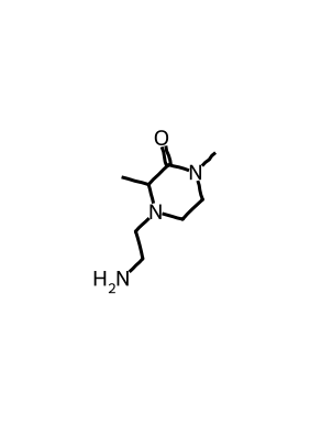 CC1C(=O)N(C)CCN1CCN